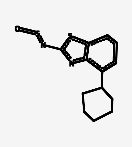 O=S=Nc1nc2c(C3CCCCC3)cccc2s1